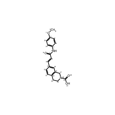 COc1ccc(NC(=O)C=Cc2ccc3c(c2)CN(C(=O)O)CC3)cc1